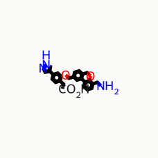 NCc1cccc2c1OCc1ccc(COc3cc(-c4cn[nH]c4)ccc3CC(=O)O)cc1-2